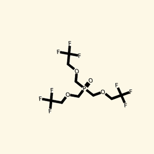 O=P(COCC(F)(F)F)(COCC(F)(F)F)COCC(F)(F)F